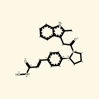 Cc1[nH]c2ccccc2c1CC(=O)N1CCC[C@H]1c1ccc(/C=C/C(=O)NO)cc1